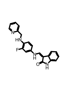 O=C1Nc2ccccc2C1=CNc1ccc(NCc2ccccn2)c(F)c1